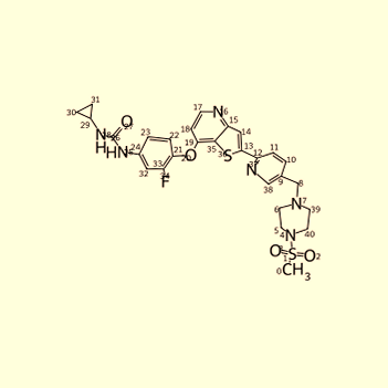 CS(=O)(=O)N1CCN(Cc2ccc(-c3cc4nccc(Oc5ccc(NC(=O)NC6CC6)cc5F)c4s3)nc2)CC1